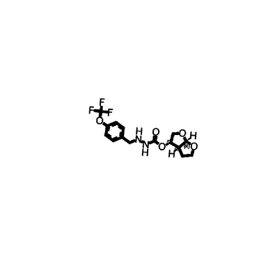 O=C(NNCc1ccc(OC(F)(F)F)cc1)O[C@H]1CO[C@H]2OCC[C@H]21